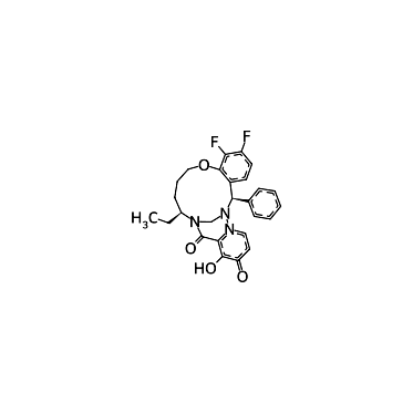 CC[C@H]1CCCOc2c(ccc(F)c2F)[C@@H](c2ccccc2)N2CN1C(=O)c1c(O)c(=O)ccn12